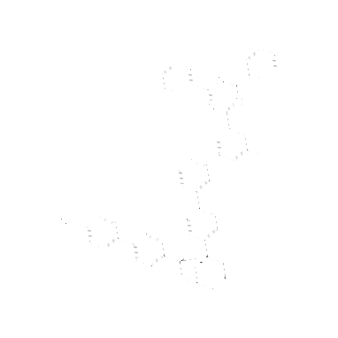 Cc1cc(-c2cccc(-c3ccc(C45CC6CC(CC(c7ccc(-c8ccc(C#N)cc8)cc7)(C6)C4)C5)cc3)c2)cc(-c2nc(-c3ccccc3)nc(-c3ccccc3)n2)c1